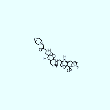 CC(C)CC(NC(=O)CNC(=O)CN1CCOCC1)C(=O)NCC(=O)N[C@@H](CC(C)C)C(=O)[C@@]1(C)CO1